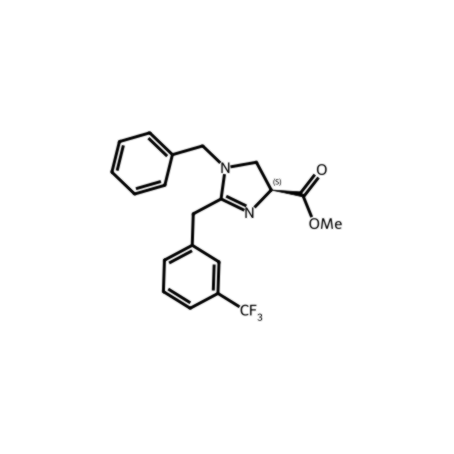 COC(=O)[C@@H]1CN(Cc2ccccc2)C(Cc2cccc(C(F)(F)F)c2)=N1